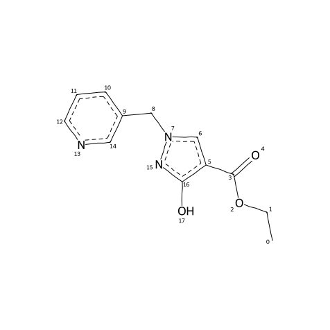 CCOC(=O)c1cn(Cc2cccnc2)nc1O